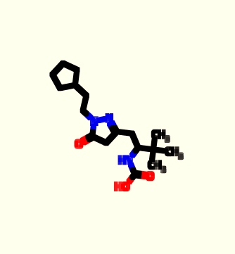 CC(C)(C)C(CC1=NN(CCC2CCCC2)C(=O)C1)NC(=O)O